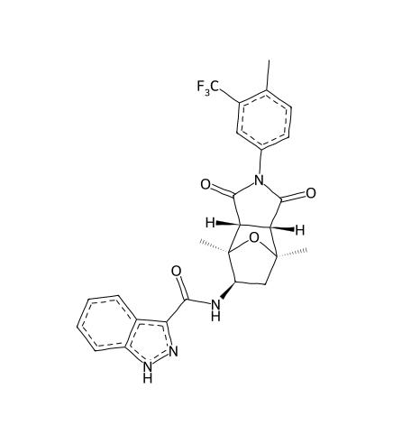 Cc1ccc(N2C(=O)[C@@H]3[C@H](C2=O)[C@@]2(C)C[C@@H](NC(=O)c4n[nH]c5ccccc45)[C@]3(C)O2)cc1C(F)(F)F